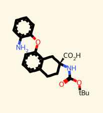 CC(C)(C)OC(=O)N[C@]1(C(=O)O)CCc2cccc(Oc3ccccc3N)c2C1